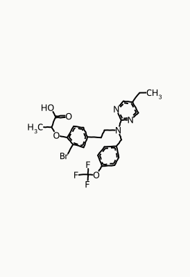 CCc1cnc(N(CCc2ccc(OC(C)C(=O)O)c(Br)c2)Cc2ccc(OC(F)(F)F)cc2)nc1